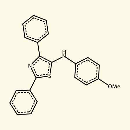 COc1ccc(Nc2sc(-c3ccccc3)nc2-c2ccccc2)cc1